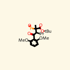 COc1cccc(OC)c1C(=O)C(C(C)C)C(C)(P=O)C(=O)OC(C)(C)C